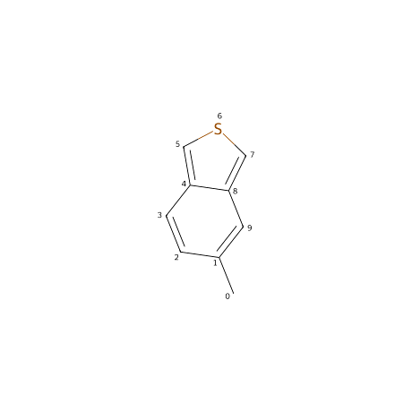 Cc1ccc2cscc2c1